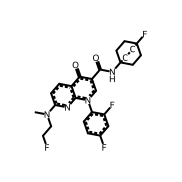 CN(CCF)c1ccc2c(=O)c(C(=O)NC34CCC(F)(CC3)CC4)cn(-c3ccc(F)cc3F)c2n1